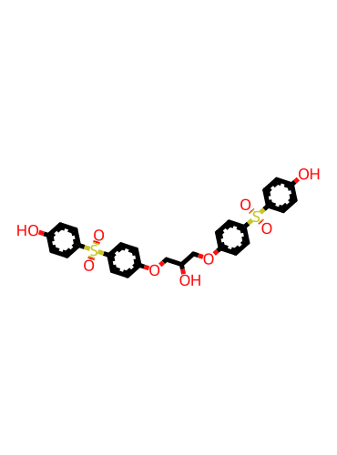 O=S(=O)(c1ccc(O)cc1)c1ccc(OCC(O)COc2ccc(S(=O)(=O)c3ccc(O)cc3)cc2)cc1